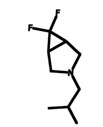 CC(C)CN1CC2C(C1)C2(F)F